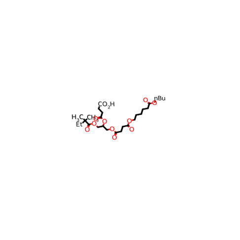 CCCCOC(=O)CCCCCOC(=O)CCC(=O)OCC(COC(=O)C(C)(C)CC)OC(=O)CCC(=O)O